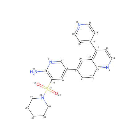 Nc1ncc(-c2ccc3nccc(-c4ccncc4)c3c2)cc1S(=O)(=O)N1CCCCC1